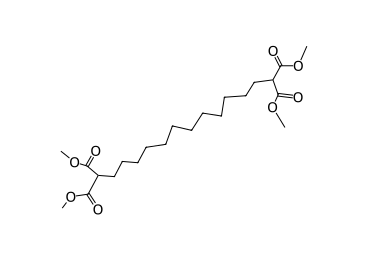 COC(=O)C(CCCCCCCCCCCCC(C(=O)OC)C(=O)OC)C(=O)OC